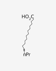 CCCC#CCCCCCCCCCCCCC(=O)O